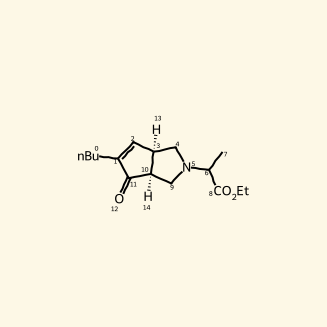 CCCCC1=C[C@H]2CN(C(C)C(=O)OCC)C[C@H]2C1=O